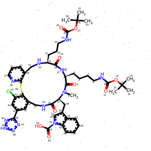 CN1C(=O)[C@H](CCCCNC(=O)OC(C)(C)C)NC(=O)[C@H](CCCNC(=O)OC(C)(C)C)NCc2cccnc2Sc2c(Cl)cc(-c3nn[nH]n3)cc2CNC(=O)[C@@H]1Cc1cn(C(=O)O)c2ccccc12